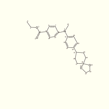 CCOC(=O)c1ccc(N(C)c2ccc(C3CCC4(CC3)OCCO4)cc2)cc1